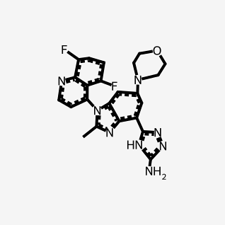 Cc1nc2c(-c3nnc(N)[nH]3)cc(N3CCOCC3)cc2n1-c1ccnc2c(F)ccc(F)c12